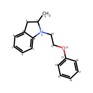 CC1Cc2ccccc2N1CCOc1ccccc1